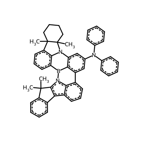 CC1(C)c2ccccc2-c2c1n1c3c(cccc23)-c2cc(N(c3ccccc3)c3ccccc3)cc3c2B1c1cccc2c1N3C1(C)CCCCC21C